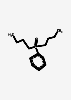 CCCCP(=O)(CCCC)c1ccccc1